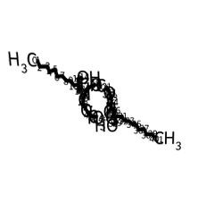 CCCCCCCCCCCC(C)(CO)CN1CCOCCOCCN(CC(C)(CO)CCCCCCCCCCC)CCOCCOCC1